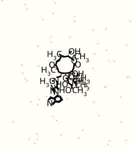 CCO[C@@H](O[C@H]1[C@@H](CCN(C)Cc2cn(-c3cccc4cnccc34)nn2)C[C@@H](C)C(=O)/C=C/C(C)=C/[C@H](CO)[C@@H](CC)OC(=O)C[C@@H](O)[C@@H]1C)C(O)C([C@@H](C)O)N(C)C